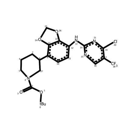 CC(C)(C)OC(=O)N1CCCC(c2ccc(Nc3ncc(C(F)(F)F)c(Cl)n3)c3c2OCO3)C1